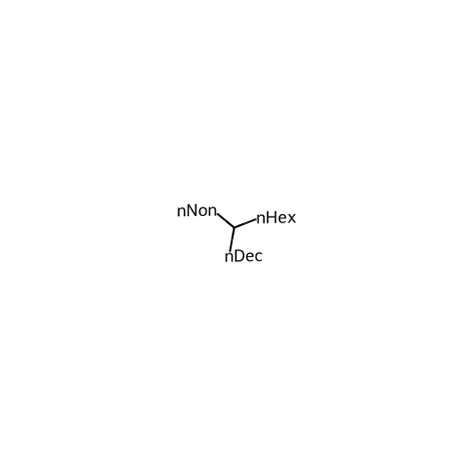 [CH2]CCCCCC(CCCCCCCCC)CCCCCCCCCC